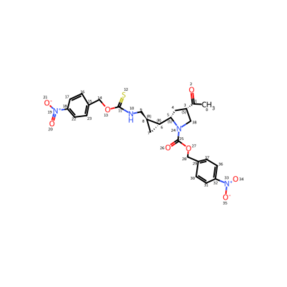 CC(=O)[C@H]1C[C@@H]([C@@H]2C[C@H]2CNC(=S)OCc2ccc([N+](=O)[O-])cc2)N(C(=O)OCc2ccc([N+](=O)[O-])cc2)C1